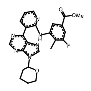 COC(=O)c1cc(F)c(C)c(Nc2ncccc2-c2ncnc3c2ncn3C2CCCCO2)c1